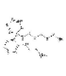 CCCCCCCCCCCCOc1ccccc1C1(OCCCCCC(C)CC)C=NC=NC1